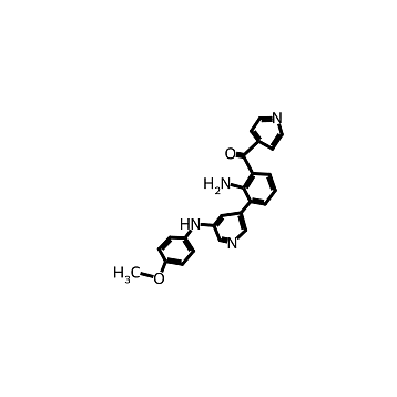 COc1ccc(Nc2cncc(-c3cccc(C(=O)c4ccncc4)c3N)c2)cc1